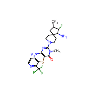 C[C@@H]1CC2(CCN(c3nc(N)c(Sc4cccnc4C(F)(F)F)c(=O)n3C)CC2)[C@H](N)[C@@H]1F